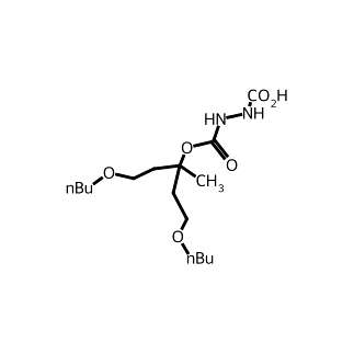 CCCCOCCC(C)(CCOCCCC)OC(=O)NNC(=O)O